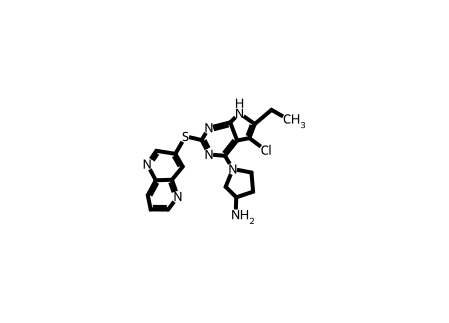 CCc1[nH]c2nc(Sc3cnc4cccnc4c3)nc(N3CCC(N)C3)c2c1Cl